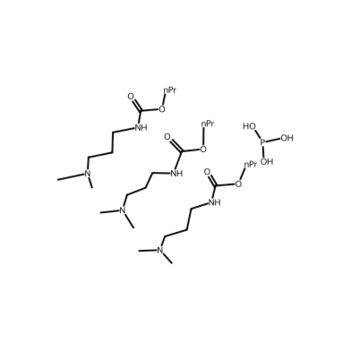 CCCOC(=O)NCCCN(C)C.CCCOC(=O)NCCCN(C)C.CCCOC(=O)NCCCN(C)C.OP(O)O